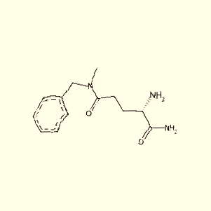 CN(Cc1ccccc1)C(=O)CC[C@H](N)C(N)=O